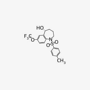 Cc1ccc(S(=O)(=O)N2CCC[C@@H](O)c3cc(OC(F)(F)F)ccc32)cc1